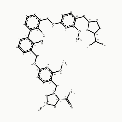 COc1nc(OCc2cccc(-c3cccc(COc4ccc(CN5C[C@@H](F)C[C@H]5C(C)=O)c(OC)n4)c3Cl)c2Cl)ccc1CN1CCC(C(F)F)C1